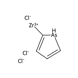 [Cl-].[Cl-].[Cl-].[Zr+3][C]1=CC=C[AsH]1